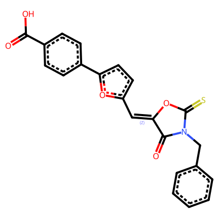 O=C(O)c1ccc(-c2ccc(/C=C3\OC(=S)N(Cc4ccccc4)C3=O)o2)cc1